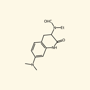 CCN(C=O)C1Cc2ccc(N(C)C)cc2NC1=O